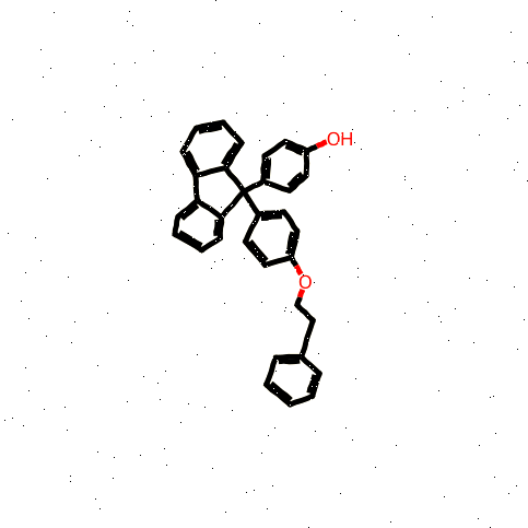 Oc1ccc(C2(c3ccc(OCCc4ccccc4)cc3)c3ccccc3-c3ccccc32)cc1